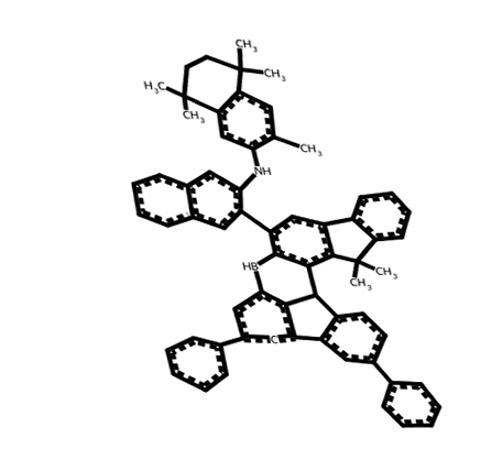 Cc1cc2c(cc1Nc1cc3ccccc3cc1-c1cc3c(c4c1Bc1cc(-c5ccccc5)cc5c1C4c1ccc(-c4ccccc4)cc1-5)C(C)(C)c1ccccc1-3)C(C)(C)CCC2(C)C